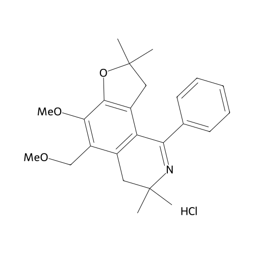 COCc1c2c(c3c(c1OC)OC(C)(C)C3)C(c1ccccc1)=NC(C)(C)C2.Cl